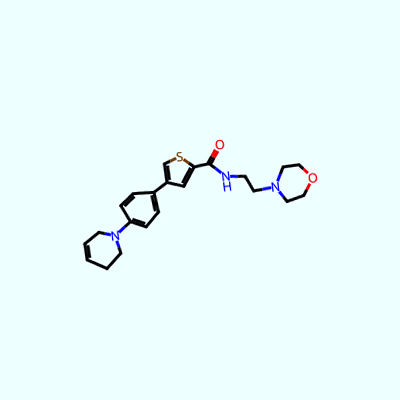 O=C(NCCN1CCOCC1)c1cc(-c2ccc(N3CC=CCC3)cc2)cs1